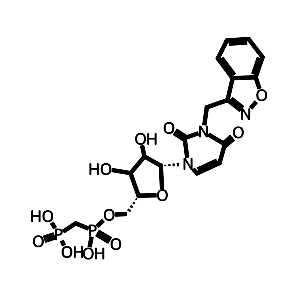 O=c1ccn([C@@H]2O[C@H](COP(=O)(O)CP(=O)(O)O)C(O)C2O)c(=O)n1Cc1noc2ccccc12